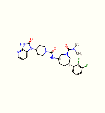 CCN(C)C(=O)N1C[C@H](NC(=O)N2CCC(n3c(=O)[nH]c4ncccc43)CC2)CC[C@@H](c2cccc(F)c2F)C1